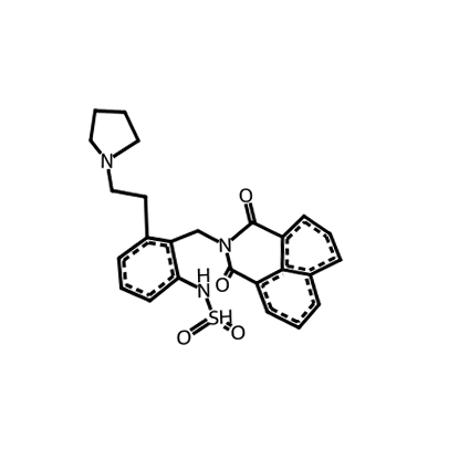 O=C1c2cccc3cccc(c23)C(=O)N1Cc1c(CCN2CCCC2)cccc1N[SH](=O)=O